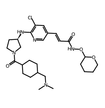 CN(C)CC1CCC(C(=O)N2CC[C@@H](Nc3ncc(C=CC(=O)NOC4CCCCO4)cc3Cl)C2)CC1